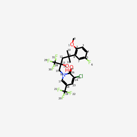 COc1ccc(F)cc1C(C)(C)CC(O)(Cn1cc(C(F)(F)F)cc(Cl)c1=O)C(F)(F)F